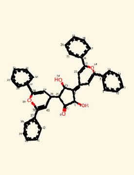 O=C1C(O)C(=C2C=C(c3ccccc3)OC(c3ccccc3)=C2)C(O)C1C1C=C(c2ccccc2)OC(c2ccccc2)=C1